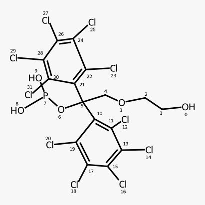 OCCOCC(OP(O)O)(c1c(Cl)c(Cl)c(Cl)c(Cl)c1Cl)c1c(Cl)c(Cl)c(Cl)c(Cl)c1Cl